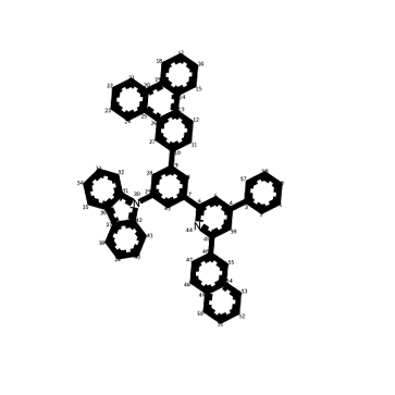 c1ccc(-c2cc(-c3cc(-c4ccc5c6ccccc6c6ccccc6c5c4)cc(-n4c5ccccc5c5ccccc54)c3)nc(-c3ccc4ccccc4c3)c2)cc1